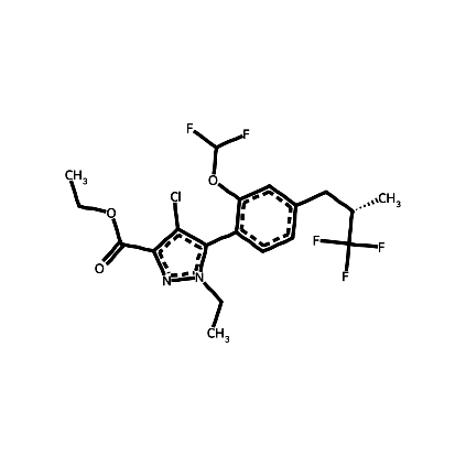 CCOC(=O)c1nn(CC)c(-c2ccc(C[C@H](C)C(F)(F)F)cc2OC(F)F)c1Cl